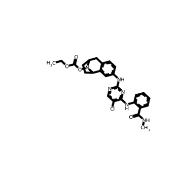 CCOC(=O)ON1C2CCC1c1cc(Nc3ncc(Cl)c(Nc4ccccc4C(=O)NC)n3)ccc1C2